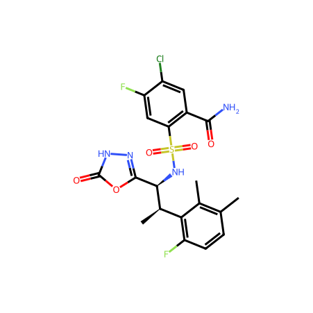 Cc1ccc(F)c([C@@H](C)[C@H](NS(=O)(=O)c2cc(F)c(Cl)cc2C(N)=O)c2n[nH]c(=O)o2)c1C